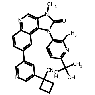 Cc1nc(C(C)(C)O)ccc1-n1c(=O)n(C)c2cnc3ccc(-c4cncc(C5(C#N)CCC5)c4)cc3c21